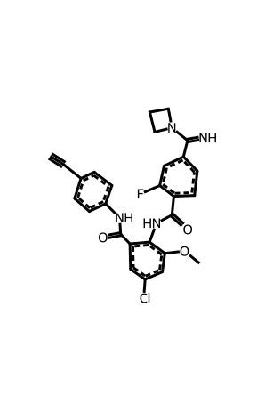 C#Cc1ccc(NC(=O)c2cc(Cl)cc(OC)c2NC(=O)c2ccc(C(=N)N3CCC3)cc2F)cc1